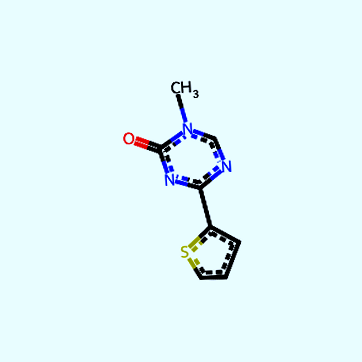 Cn1cnc(-c2cccs2)nc1=O